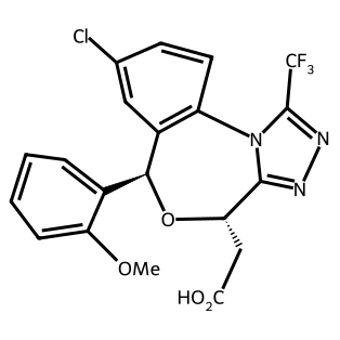 COc1ccccc1[C@@H]1O[C@@H](CC(=O)O)c2nnc(C(F)(F)F)n2-c2ccc(Cl)cc21